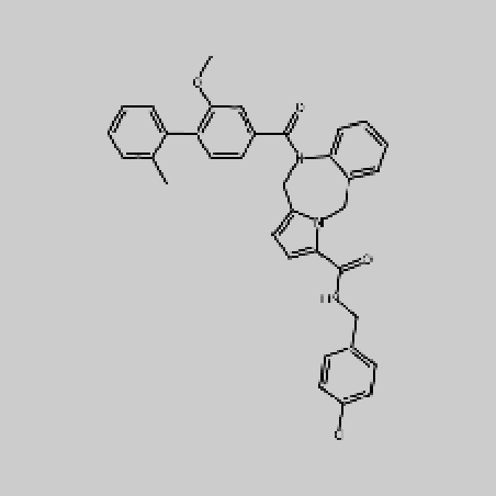 COc1cc(C(=O)N2Cc3ccc(C(=O)NCc4ccc(Cl)cc4)n3Cc3ccccc32)ccc1-c1ccccc1C